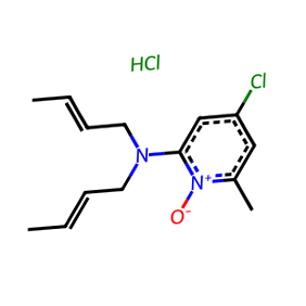 CC=CCN(CC=CC)c1cc(Cl)cc(C)[n+]1[O-].Cl